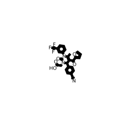 CC1=C(C(=O)c2ccco2)C(c2ccc(C#N)cc2)N(CC(=O)O)C(=O)N1c1cccc(C(F)(F)F)c1